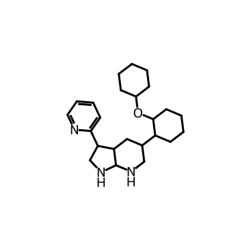 c1ccc(C2CNC3NCC(C4CCCCC4OC4CCCCC4)CC32)nc1